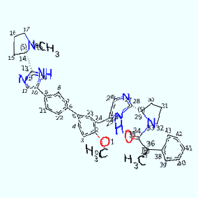 COc1ccc(-c2ccc(-c3cnc([C@@H]4CCCN4C)[nH]3)cc2)cc1-c1cnc([C@@H]2CCCN2C(=O)[C@H](C)c2ccccc2)[nH]1